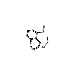 CCO.O=Cc1cccc2ccccc12